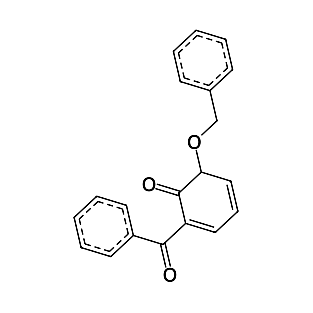 O=C(C1=CC=CC(OCc2ccccc2)C1=O)c1ccccc1